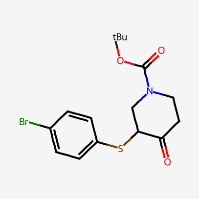 CC(C)(C)OC(=O)N1CCC(=O)C(Sc2ccc(Br)cc2)C1